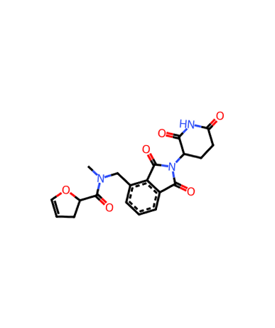 CN(Cc1cccc2c1C(=O)N(C1CCC(=O)NC1=O)C2=O)C(=O)C1CC=CO1